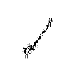 CC(NC(=O)C(C)NC(=O)CCOCCOCCOCCN=[N+]=[N-])C(=O)O